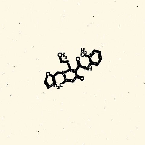 CCCc1c(C(=O)Nc2ccccc2C)c(=O)cc(C)n1Cc1ccco1